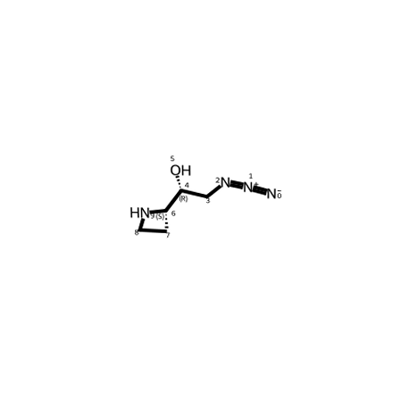 [N-]=[N+]=NC[C@@H](O)[C@@H]1CCN1